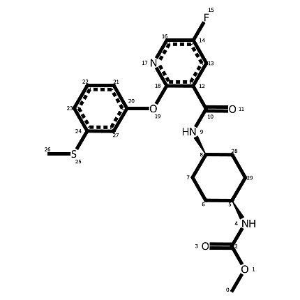 COC(=O)N[C@H]1CC[C@@H](NC(=O)c2cc(F)cnc2Oc2cccc(SC)c2)CC1